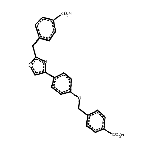 O=C(O)c1ccc(COc2ccc(-c3csc(Cc4ccc(C(=O)O)cc4)n3)cc2)cc1